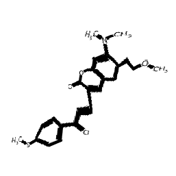 COCCc1cc2cc(/C=C/C(=O)c3ccc(SC)cc3)c(=O)oc2cc1N(C)C